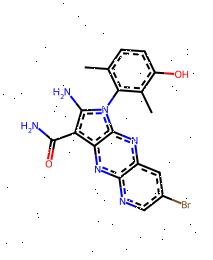 Cc1ccc(O)c(C)c1-n1c(N)c(C(N)=O)c2nc3ncc(Br)cc3nc21